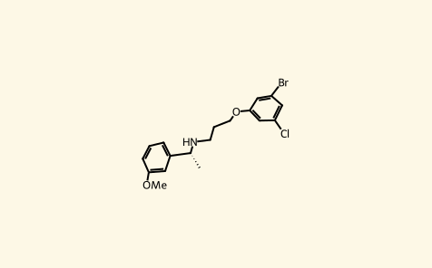 COc1cccc([C@@H](C)NCCCOc2cc(Cl)cc(Br)c2)c1